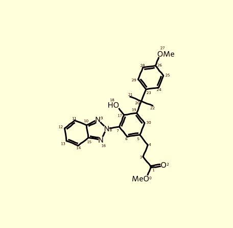 COC(=O)CCc1cc(-n2nc3ccccc3n2)c(O)c(C(C)(C)c2ccc(OC)cc2)c1